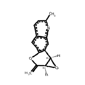 C=C1Oc2cc3ccc(C)nc3cc2[C@H]2O[C@@H]12